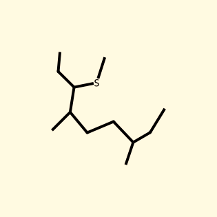 CCC(C)CCC(C)C(CC)SC